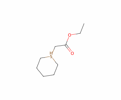 CCOC(=O)C[SH]1CCCCC1